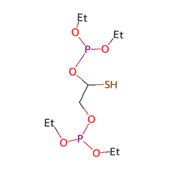 CCOP(OCC)OCC(S)OP(OCC)OCC